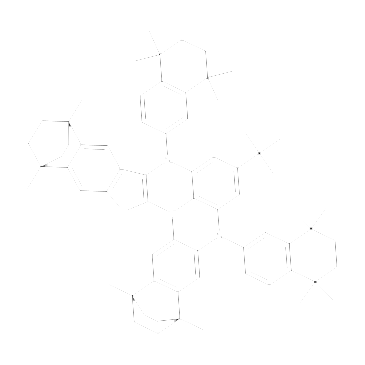 CC(C)(C)c1cc2c3c(c1)N(c1ccc4c(c1)C(C)(C)CCC4(C)C)c1c(sc4cc5c(cc14)C1(C)CCC5(C)CC1)B3c1cc3c(cc1N2c1ccc2c(c1)C(C)(C)CCC2(C)C)C1(C)CCC3(C)CC1